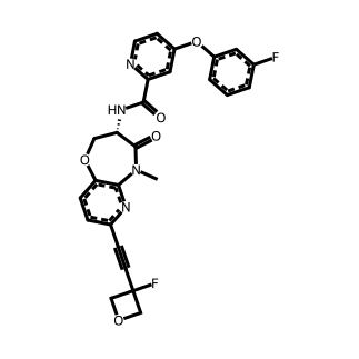 CN1C(=O)[C@@H](NC(=O)c2cc(Oc3cccc(F)c3)ccn2)COc2ccc(C#CC3(F)COC3)nc21